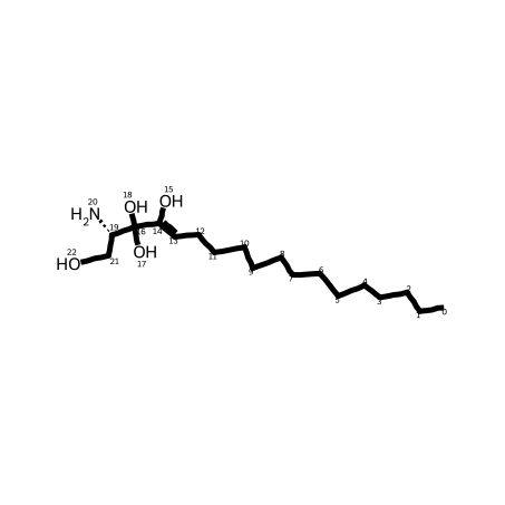 CCCCCCCCCCCCC/C=C(\O)C(O)(O)[C@@H](N)CO